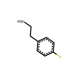 Fc1ccc(C[CH2][SnH])cc1